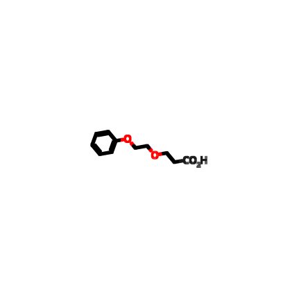 O=C(O)CCOCCOc1ccccc1